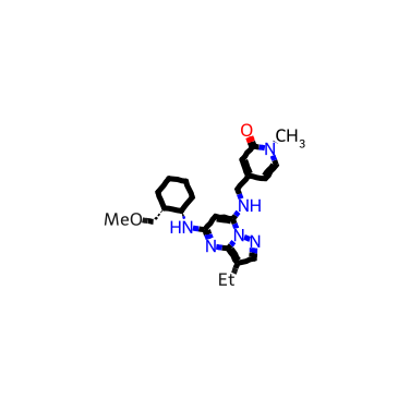 CCc1cnn2c(NCc3ccn(C)c(=O)c3)cc(N[C@H]3CCCC[C@H]3COC)nc12